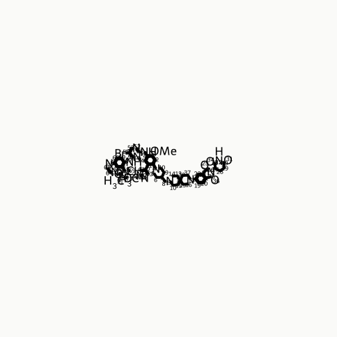 COc1cc(N2CCC(CN3CCC4(CC3)CCN(c3ccc5c(c3)C(=O)N(C3CCC(=O)NC3=O)C5=O)CC4)CC2)c(-c2cnn(C)c2)cc1Nc1ncc(Br)c(Nc2ccc3nccnc3c2N(C)S(C)(=O)=O)n1